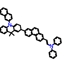 CC1(C)C2=CC(c3ccc4c(ccc5cc(/C=C/N(c6ccccc6)c6ccccc6)ccc54)c3)CC=C2N(c2ccc3ccccc3c2)c2ccccc21